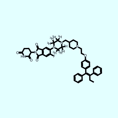 [2H]C1([2H])N(CC2CCN(CCOc3ccc(C(=C(CC)c4ccccc4)c4ccccc4)cc3)CC2)C([2H])([2H])C([2H])([2H])N(c2cc3c(cc2F)C(=O)N(C2CCC(=O)NC2=O)C3=O)C1([2H])[2H]